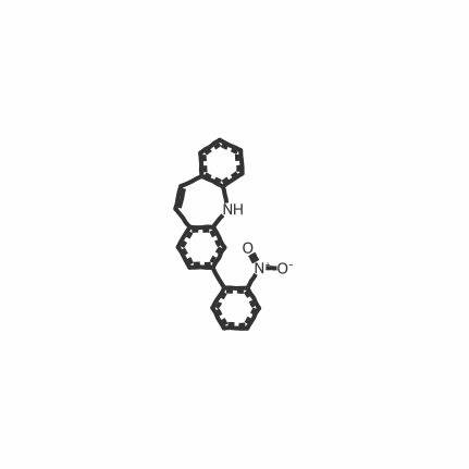 O=[N+]([O-])c1ccccc1-c1ccc2c(c1)Nc1ccccc1C=C2